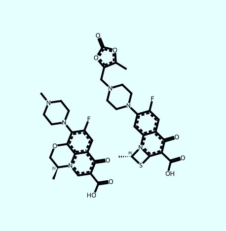 C[C@H]1COc2c(N3CCN(C)CC3)c(F)cc3c(=O)c(C(=O)O)cn1c23.Cc1oc(=O)oc1CN1CCN(c2cc3c(cc2F)c(=O)c(C(=O)O)c2n3[C@@H](C)S2)CC1